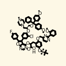 COc1ccc(C(OC[C@H](CN2CCN(C)CC2)Oc2ccc(-c3c(-c4ccc(F)cc4)oc4ncnc(OC(Cc5cc(O[Si](C)(C)C(C)(C)C)ccc5OCc5ccnc(-c6ccccc6OC)n5)C(=O)O)c34)cc2Cl)(c2ccccc2)c2ccc(OC)cc2)cc1